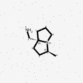 C[C@H]1CC[C@@]2(CN)CCCN12